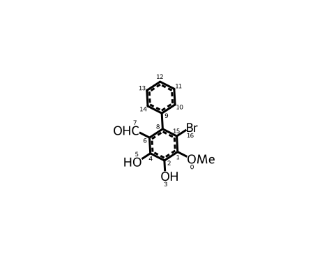 COc1c(O)c(O)c(C=O)c(-c2ccccc2)c1Br